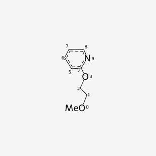 COCCOc1c[c]ccn1